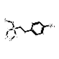 CCO[Si](CCc1ccc(C(Cl)(Cl)Cl)cc1)(OCC)OCC